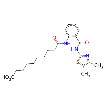 Cc1nc(NC(=O)c2ccccc2NC(=O)CCCCCCCCC(=O)O)sc1C